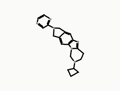 c1cnc(N2Cc3cc4nc5n(c4cc3C2)CN(C2CCC2)CC5)cn1